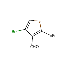 CCCc1scc(Br)c1C=O